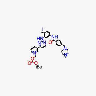 CCC(C)OC(=O)OC[n+]1cccc(-c2ccnc(Nc3cc(NC(=O)c4ccc(CN5CCN(C)CC5)cc4)ccc3C)n2)c1.[I-]